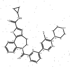 O=C(NC1CC1)c1cc2c(s1)-c1ccccc1N(C(=O)c1cccc(-c3cnc(N4CCOCC4)c(F)c3)n1)CC2